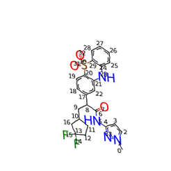 Cn1ccc(NC(=O)C(CC2CCC(F)(F)C2)c2ccc3c(c2)Nc2ccccc2S3(=O)=O)n1